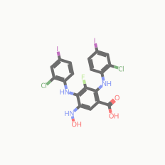 O=C(O)c1cc(NO)c(Nc2ccc(I)cc2Cl)c(F)c1Nc1ccc(I)cc1Cl